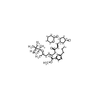 COC(=O)c1ccc(CCC[C@@H]2[C@@H](/C=C/C(=O)CCCC[C@@H](C)O[Si](C)(C)C(C)(C)C)[C@H](OC3CCCCO3)C[C@H]2Cl)s1